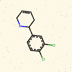 Clc1ccc(C2CC=CC[N]2)cc1Cl